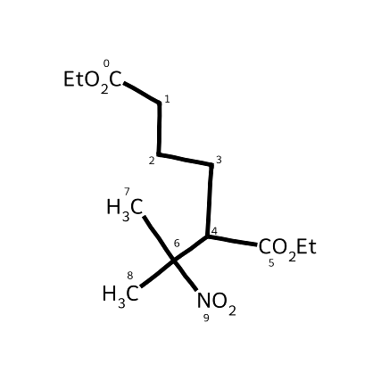 CCOC(=O)CCCC(C(=O)OCC)C(C)(C)[N+](=O)[O-]